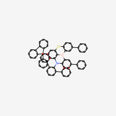 c1ccc(-c2ccc3c(c2)B2c4cc(-c5ccccc5)ccc4N(c4c(-c5ccccc5)cccc4-c4ccccc4)c4cc(C5(c6ccccc6)c6ccccc6-c6ccccc65)cc(c42)S3)cc1